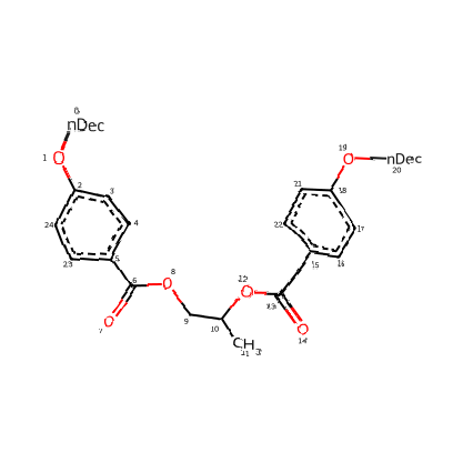 CCCCCCCCCCOc1ccc(C(=O)OCC(C)OC(=O)c2ccc(OCCCCCCCCCC)cc2)cc1